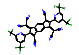 N#CC(C#N)=C1C(c2cc(C(F)(F)F)cc(C(F)(F)F)n2)=C(C#N)c2cc3c(cc21)C(C#N)=C(c1cc(C(F)(F)F)cc(C(F)(F)F)n1)C3=C(C#N)C#N